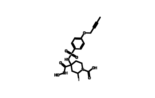 CC#CCOc1ccc(S(=O)(=O)NC2(C(=O)NO)CCN(C(=O)O)C(I)C2)cc1